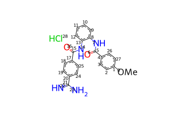 COc1ccc(C(=O)Nc2ccccc2NC(=O)c2ccc(C(=N)N)cc2)cc1.Cl